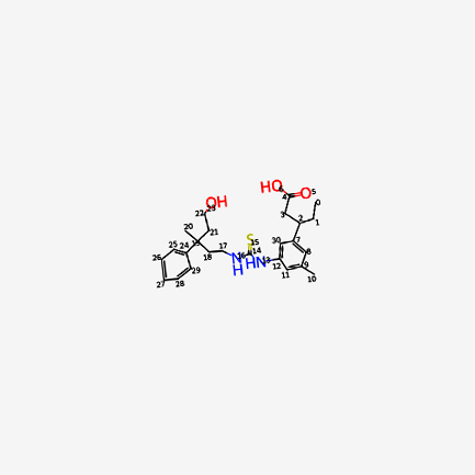 CCC(CC(=O)O)c1cc(C)cc(NC(=S)NCCC(C)(CCO)c2ccccc2)c1